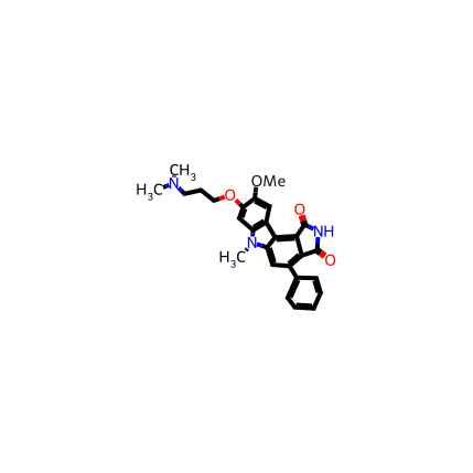 COc1cc2c3c4c(c(-c5ccccc5)cc3n(C)c2cc1OCCCN(C)C)C(=O)NC4=O